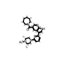 CC(=O)N1[C@H](C)CN(c2cccc(-c3c[nH]c4ncc(C(=O)N5CCCCCC5)cc34)n2)C[C@@H]1C